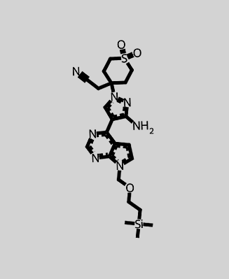 C[Si](C)(C)CCOCn1ccc2c(-c3cn(C4(CC#N)CCS(=O)(=O)CC4)nc3N)ncnc21